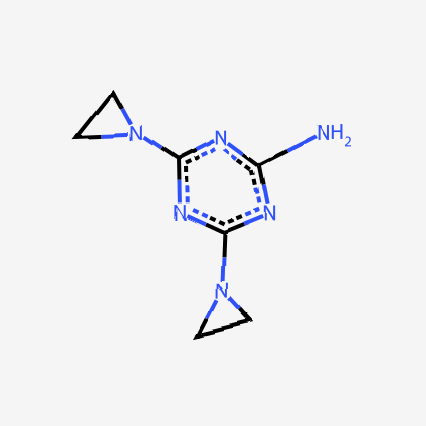 Nc1nc(N2CC2)nc(N2CC2)n1